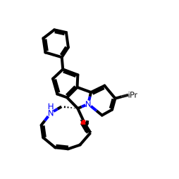 CC(C)C1=CCN2C(=C1)c1cc(-c3ccccc3)ccc1[C@@]21CN/C=C\C=C/Cc2ccccc21